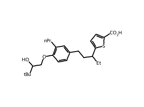 CCCc1cc(CCC(CC)c2ccc(C(=O)O)s2)ccc1OCC(O)C(C)(C)C